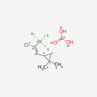 CC1(C)CC1/C=C(/Cl)C(F)(F)F.O=C(O)O